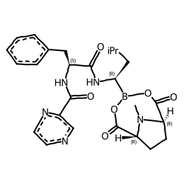 CC(C)C[C@H](NC(=O)[C@H](Cc1ccccc1)NC(=O)c1cnccn1)B1OC(=O)[C@H]2CC[C@H](C(=O)O1)N2C